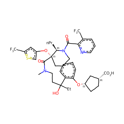 CCC[C@H]1N(C(=O)c2ncccc2C(F)(F)F)CCC[C@@]1(Oc1csc(C(F)(F)F)c1)C(=O)N(C)CCC(O)(CC)c1ccccc1O[C@H]1CC[C@@H](C(=O)O)C1